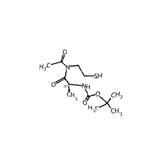 CC(=O)N(CCS)C(=O)[C@H](C)NC(=O)OC(C)(C)C